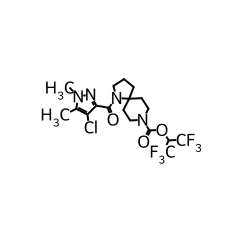 Cc1c(Cl)c(C(=O)N2CCCC23CCN(C(=O)OC(C(F)(F)F)C(F)(F)F)CC3)nn1C